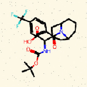 CC(C)(C)OC(=O)NC(C(=O)O)C1CC2CCCC(C1)N2C(=O)c1ccc(C(F)(F)F)cc1